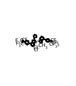 CC1=Cc2c(-c3ccc(C(C(F)(F)F)(C(F)(F)F)C(F)(F)F)cc3)cccc2[CH]1[Zr+2][CH]1C(C2CCCC2)=Cc2c(-c3ccc(C(C(F)(F)F)(C(F)(F)F)C(F)(F)F)cc3)cccc21.[Cl-].[Cl-]